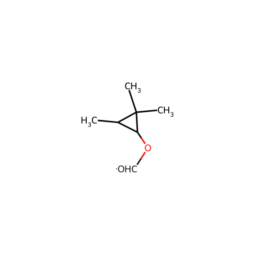 CC1C(O[C]=O)C1(C)C